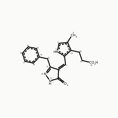 Cc1c[nH]c(/C=C2/C(=O)NN=C2Cc2ccccc2)c1CCC(=O)O